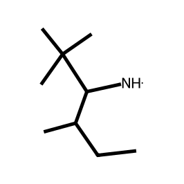 CCC(C)C([NH])C(C)(C)C